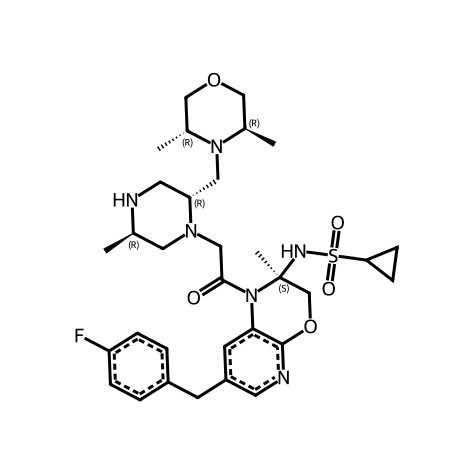 C[C@@H]1CN(CC(=O)N2c3cc(Cc4ccc(F)cc4)cnc3OC[C@]2(C)NS(=O)(=O)C2CC2)[C@@H](CN2[C@H](C)COC[C@H]2C)CN1